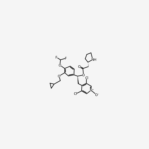 O=C(C[C@@H]1CCCN1)O[C@@H](Cc1c(Cl)c[n+]([O-])cc1Cl)c1ccc(OC(F)F)c(OCC2CC2)c1